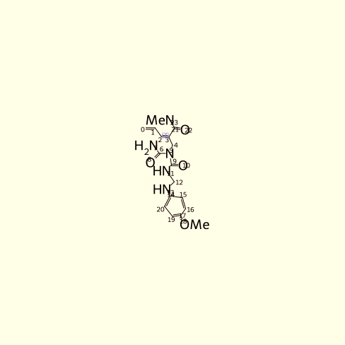 C=C/C=C(/CN(C(N)=O)C(=O)NCNc1ccc(OC)cc1)C(=O)NC